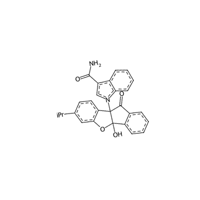 CC(C)c1ccc2c(c1)OC1(O)c3ccccc3C(=O)C21n1cc(C(N)=O)c2ccccc21